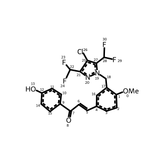 COc1ccc(C=CC(=O)c2ccc(O)cc2)cc1Cn1nc(C(F)F)c(Cl)c1C(F)F